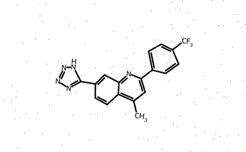 Cc1cc(-c2ccc(C(F)(F)F)cc2)nc2cc(-c3nnn[nH]3)ccc12